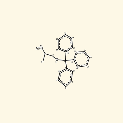 [CH2]C(COC(c1ccccc1)(c1ccccc1)c1ccccc1)OC